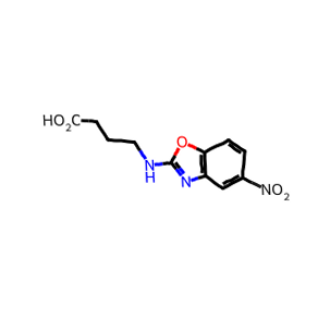 O=C(O)CCCNc1nc2cc([N+](=O)[O-])ccc2o1